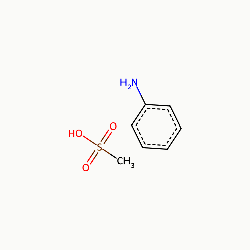 CS(=O)(=O)O.Nc1ccccc1